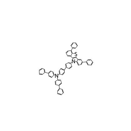 c1ccc(-c2ccc(N(c3ccc(-c4ccccc4)cc3)c3ccc(-c4ccc(-n5c6ccc(-c7ccccc7)cc6c6sc7c(-c8ccccc8)cccc7c65)cc4)cc3)cc2)cc1